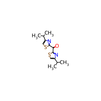 CC(C)c1csc(C(=O)c2nc(C(C)C)cs2)n1